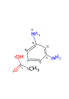 CC(=O)O.Nc1cccc(N)c1